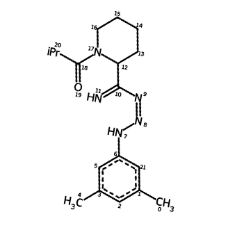 Cc1cc(C)cc(N/N=N\C(=N)C2CCCCN2C(=O)C(C)C)c1